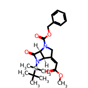 COC(=O)/C=C1/CN(C(=O)OCc2ccccc2)[C@@H]2C(=O)N([Si](C)(C)C(C)(C)C)[C@H]12